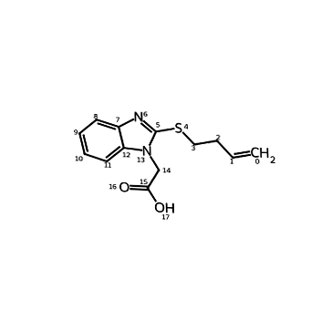 C=CCCSc1nc2ccccc2n1CC(=O)O